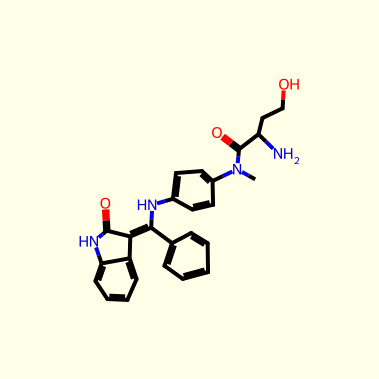 CN(C(=O)C(N)CCO)c1ccc(N/C(=C2\C(=O)Nc3ccccc32)c2ccccc2)cc1